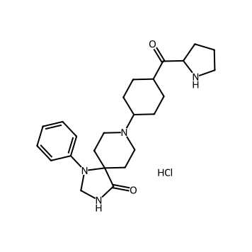 Cl.O=C(C1CCC(N2CCC3(CC2)C(=O)NCN3c2ccccc2)CC1)C1CCCN1